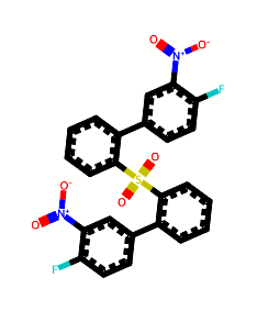 O=[N+]([O-])c1cc(-c2ccccc2S(=O)(=O)c2ccccc2-c2ccc(F)c([N+](=O)[O-])c2)ccc1F